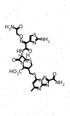 Cc1cc(SCC2=C(C(=O)O)N3C(=O)[C@@H](NC(=O)C(=NOCC(N)=O)c4csc(N)n4)[C@H]3SC2)n2nc(C(N)=O)nc2n1